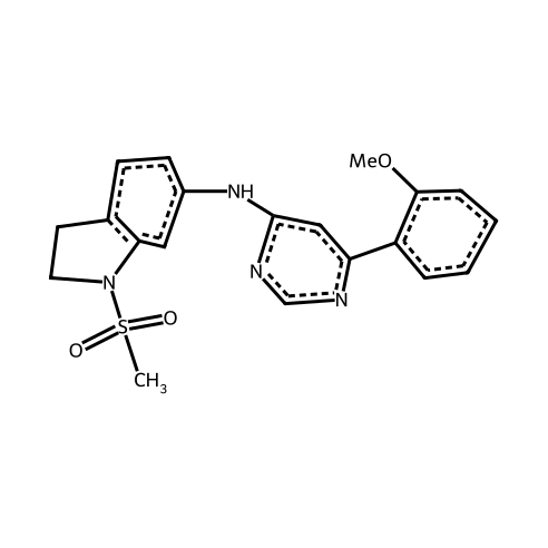 COc1ccccc1-c1cc(Nc2ccc3c(c2)N(S(C)(=O)=O)CC3)ncn1